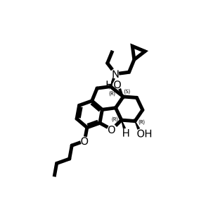 CCCCOc1ccc2c3c1O[C@@H]1C3[C@@](O)(CC[C@H]1O)[C@H](N(CC)CC1CC1)C2